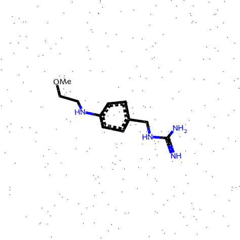 COCCNc1ccc(CNC(=N)N)cc1